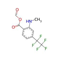 CNc1cc(C(F)(F)C(F)(F)F)ccc1C(=O)OC=O